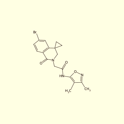 Cc1noc(NC(=O)CN2CC3(CC3)c3cc(Br)ccc3C2=O)c1C